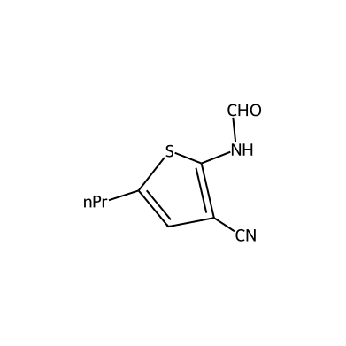 CCCc1cc(C#N)c(NC=O)s1